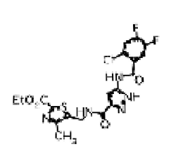 CCOC(=O)c1nc(C)c(CNC(=O)c2cc(NC(=O)c3cc(F)c(F)cc3Cl)[nH]n2)s1